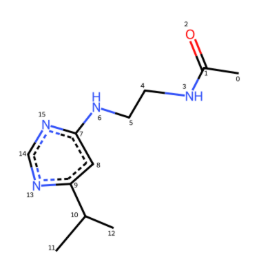 CC(=O)NCCNc1cc(C(C)C)ncn1